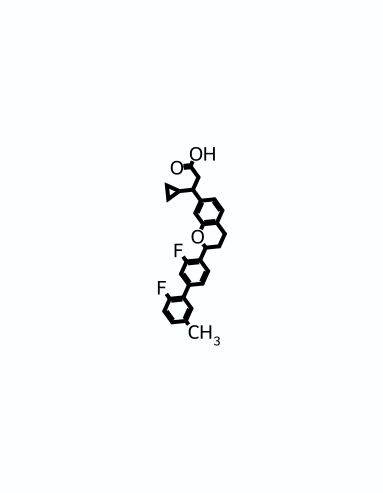 Cc1ccc(F)c(-c2ccc(C3CCc4ccc(C(CC(=O)O)C5CC5)cc4O3)c(F)c2)c1